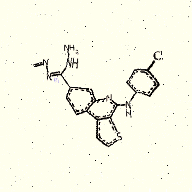 C=N/N=C(\NN)c1ccc2c(c1)nc(Nc1ccc(Cl)cc1)c1sccc12